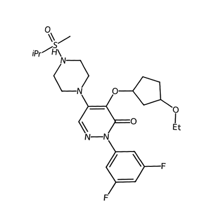 CCOC1CCC(Oc2c(N3CCN([SH](C)(=O)C(C)C)CC3)cnn(-c3cc(F)cc(F)c3)c2=O)C1